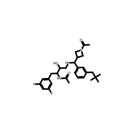 CC(=O)NC(Cc1cc(F)cc(F)c1)C(O)CNC(c1cccc(CC(C)(C)C)c1)C1CN(C(C)=O)C1